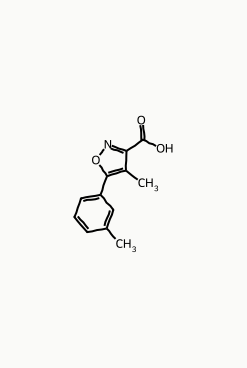 Cc1cccc(-c2onc(C(=O)O)c2C)c1